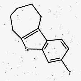 Fc1ccc2c3c(sc2c1)CCCCC3